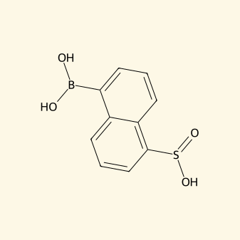 O=S(O)c1cccc2c(B(O)O)cccc12